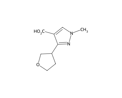 Cn1cc(C(=O)O)c(C2CCOC2)n1